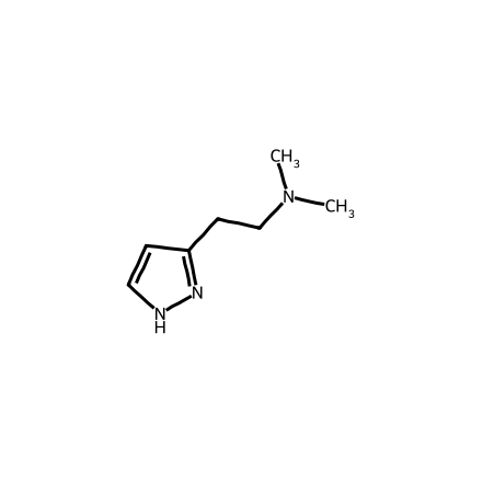 CN(C)CCc1cc[nH]n1